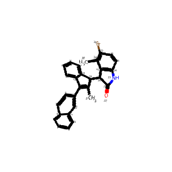 CC1=C(c2ccc3ccccc3c2)c2ccccc2C1C1C(=O)Nc2ccc(Br)c(C)c21